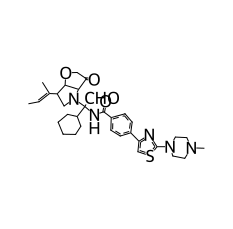 C/C=C(\C)C1CN(C(C=O)(NC(=O)c2ccc(-c3csc(N4CCN(C)CC4)n3)cc2)C2CCCCC2)C2C(=O)COC12